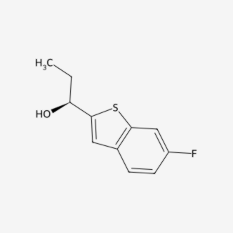 CC[C@H](O)c1cc2ccc(F)cc2s1